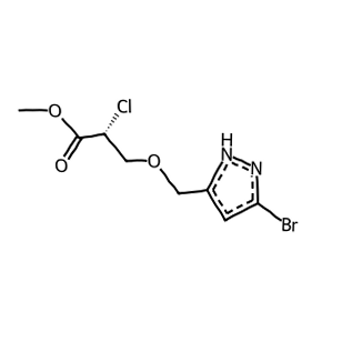 COC(=O)[C@H](Cl)COCc1cc(Br)n[nH]1